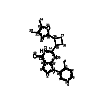 Cc1ccncc1-n1ncc2c(=O)[nH]c(C3CCC3c3nc(C)c(C)o3)nc21